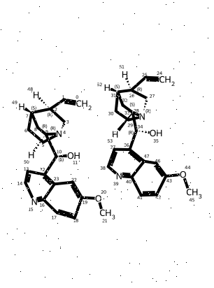 C=C[C@H]1C[N@]2CC[C@H]1C[C@@H]2[C@@H](O)c1ccnc2ccc(OC)cc12.C=C[C@H]1C[N@]2CC[C@H]1C[C@H]2[C@H](O)c1ccnc2ccc(OC)cc12